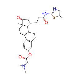 Cc1cnc(NC(=O)CCC2CC(=O)C3(C)CCC4c5ccc(OC(=O)CN(C)C)cc5CCC4C23)s1